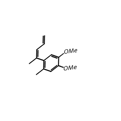 C=C/C=C(/C)c1cc(OC)c(OC)cc1C